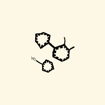 Cc1cccc(-c2ccccc2)c1C.Oc1ccccc1